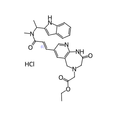 CCOC(=O)CN1CC(=O)Nc2ncc(/C=C/C(=O)N(C)C(C)c3cc4ccccc4[nH]3)cc2C1.Cl